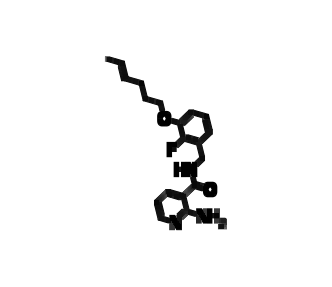 C/C=C/CCCOc1cccc(CNC(=O)c2cccnc2N)c1F